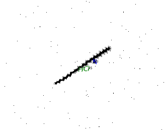 CCCCCCCCCCCCCCCCCCCCC(CCCCCCCCCCC)N(C)C.Cl